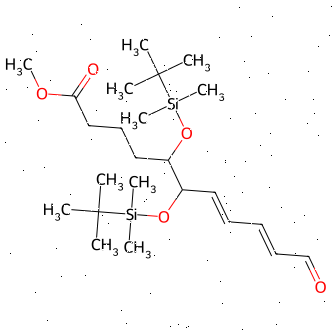 COC(=O)CCCC(O[Si](C)(C)C(C)(C)C)C(/C=C/C=C/C=O)O[Si](C)(C)C(C)(C)C